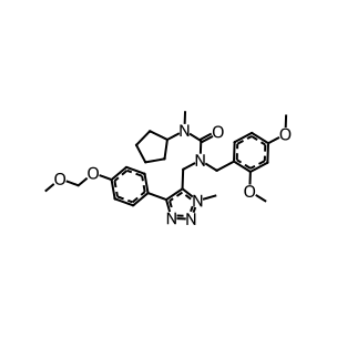 COCOc1ccc(-c2nnn(C)c2CN(Cc2ccc(OC)cc2OC)C(=O)N(C)C2CCCC2)cc1